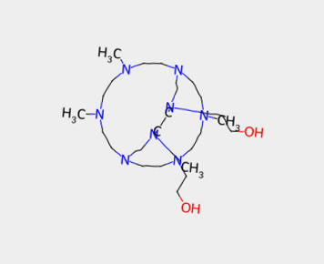 CN1CCN(C)CCN2CCN(C)CCN(CCO)CCN(CC1)CCN(C)CCN(CCO)CC2